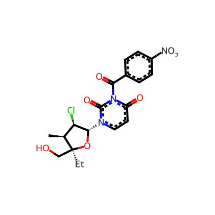 CC[C@@]1(CO)O[C@@H](n2ccc(=O)n(C(=O)c3ccc([N+](=O)[O-])cc3)c2=O)[C@H](Cl)[C@@H]1C